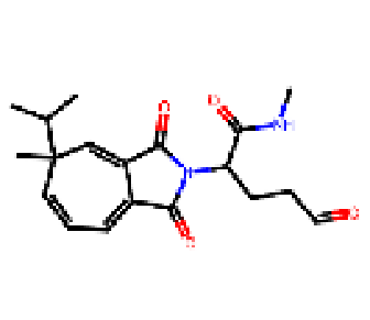 CNC(=O)C(CCC=O)N1C(=O)C2=CC=CC(C)(C(C)C)C=C2C1=O